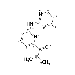 CN(C)C(=O)c1cncc(Nc2cnccn2)n1